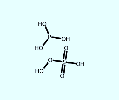 O=S(=O)(O)OO.OP(O)O